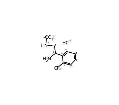 Cl.NC(CNC(=O)O)c1ccccc1Cl